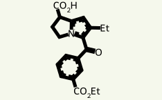 CCOC(=O)c1cccc(C(=O)c2c(CC)cc3n2CCC3C(=O)O)c1